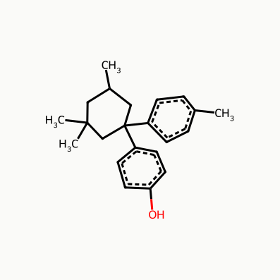 Cc1ccc(C2(c3ccc(O)cc3)CC(C)CC(C)(C)C2)cc1